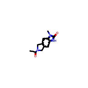 CC(=O)N1Cc2cc3[nH]c(=O)n(C)c3cc2C1